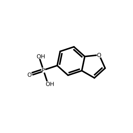 O=P(O)(O)c1ccc2occc2c1